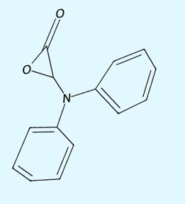 O=C1OC1N(c1ccccc1)c1ccccc1